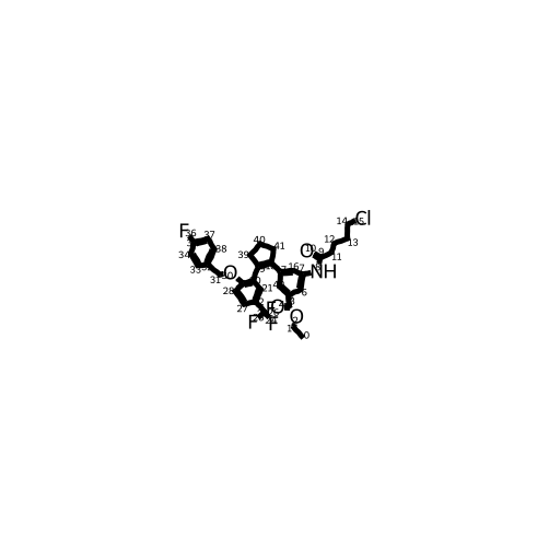 CCOC(=O)c1cc(NC(=O)CCCCCl)cc(C2=C(c3cc(C(F)(F)F)ccc3OCc3ccc(F)cc3)CCC2)c1